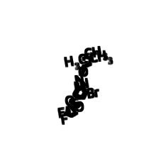 C[Si](C)(C)CCOCn1cc2cc(S(=O)(=O)N3CCC(F)(F)C3)cc(Br)c2n1